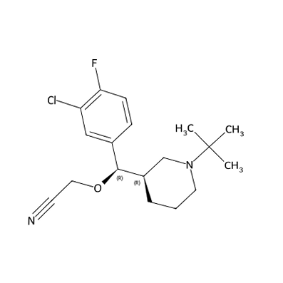 CC(C)(C)N1CCC[C@@H]([C@@H](OCC#N)c2ccc(F)c(Cl)c2)C1